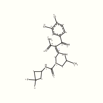 CC1CN(C(=O)NC2CC(F)(F)C2)C/C(=C(/C(=N)c2ccc(Cl)c(Cl)c2)C(N)=O)N1